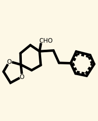 O=CC1(CCc2ccccc2)CCC2(CC1)OCCO2